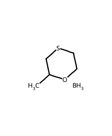 B.CC1CSCCO1